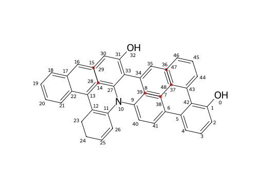 Oc1cccc(-c2ccc(N(C3=C(c4cccc5ccccc45)CCC=C3)c3cccc(O)c3-c3ccccc3)cc2)c1-c1ccccc1